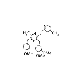 COc1ccc(CN2[CH]C(Cc3ccc(OC)c(OC)c3)=C(CCc3cc(C)ccn3)N=C2C)cc1